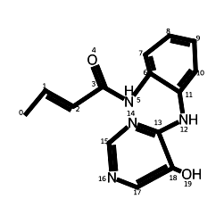 C/C=C/C(=O)Nc1ccccc1Nc1ncncc1O